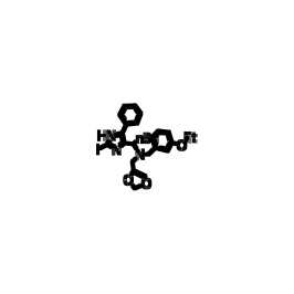 CCCCC(c1nc(I)[nH]c1-c1ccccc1)N(CC1=COCO1)Cc1cccc(OCC)c1